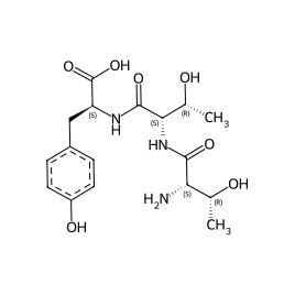 C[C@@H](O)[C@H](N)C(=O)N[C@H](C(=O)N[C@@H](Cc1ccc(O)cc1)C(=O)O)[C@@H](C)O